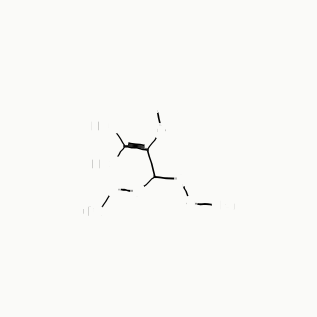 CC(C)=C(O[O])C(OOC(C)(C)C)OOC(C)(C)C